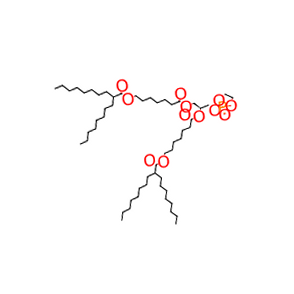 CCCCCCCCC(CCCCCCCC)C(=O)OCCCCCCC(=O)OC[C@@H](COP1(=O)OCCO1)OC(=O)CCCCCCOC(=O)C(CCCCCCCC)CCCCCCCC